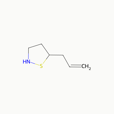 C=CCC1CCNS1